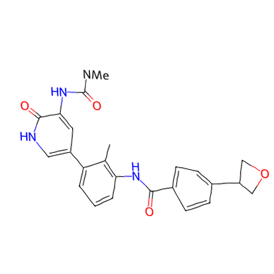 CNC(=O)Nc1cc(-c2cccc(NC(=O)c3ccc(C4COC4)cc3)c2C)c[nH]c1=O